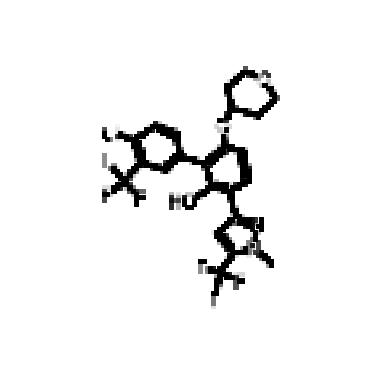 Cn1nc(-c2ccc(OC3CCOCC3)c(-c3ccc(Cl)c(C(F)(F)F)c3)c2O)cc1C(F)(F)F